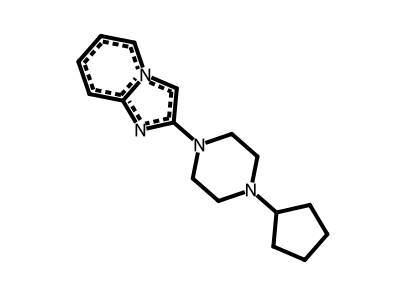 c1ccn2cc(N3CCN(C4CCCC4)CC3)nc2c1